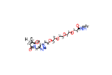 CCCNC(=O)CCOCCOCCOCCOCCn1cc(CN2C(=O)CC(C)C2=O)nn1